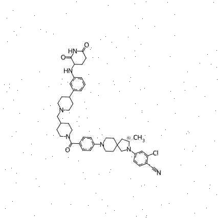 C[C@H]1CC2(CCN(c3ccc(C(=O)N4CCC(CN5CCC(c6cccc(NC7CCC(=O)NC7=O)c6)CC5)CC4)cc3)CC2)CN1c1ccc(C#N)c(Cl)c1